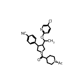 CC(=O)N1CCC(C(=O)N2CC(c3ccc(C#N)cc3)C(C(C)Oc3ccc(Cl)cn3)C2)CC1